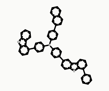 c1ccc(-c2cccc3c2oc2ccc(-c4ccc(N(c5ccc(-c6ccc7ccccc7c6)cc5)c5ccc(-c6cccc7oc8ccccc8c67)cc5)cc4)cc23)cc1